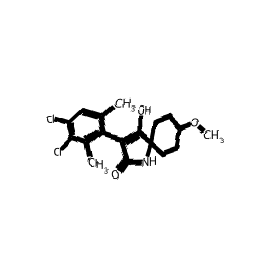 COC1CCC2(CC1)NC(=O)C(c1c(C)cc(Cl)c(Cl)c1C)=C2O